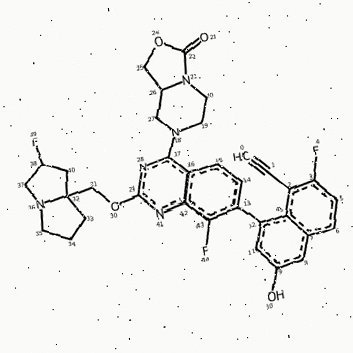 C#Cc1c(F)ccc2cc(O)cc(-c3ccc4c(N5CCN6C(=O)OCC6C5)nc(OCC56CCCN5CC(F)C6)nc4c3F)c12